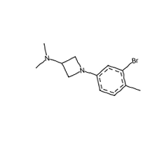 Cc1ccc(N2CC(N(C)C)C2)cc1Br